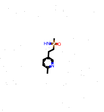 Cc1ccc(CCS(C)(=N)=O)cn1